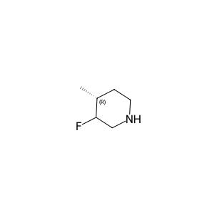 C[C@@H]1CCNCC1F